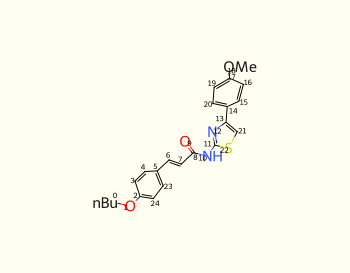 CCCCOc1ccc(C=CC(=O)Nc2nc(-c3ccc(OC)cc3)cs2)cc1